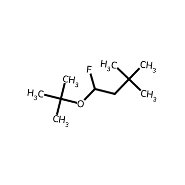 CC(C)(C)CC(F)OC(C)(C)C